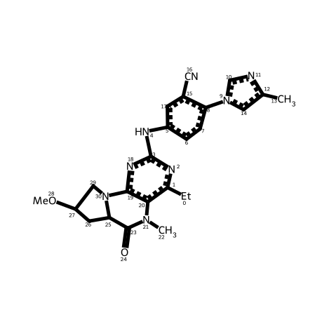 CCc1nc(Nc2ccc(-n3cnc(C)c3)c(C#N)c2)nc2c1N(C)C(=O)C1CC(OC)CN21